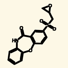 O=C1Nc2ccccc2Oc2ccc(S(=O)(=O)CC3CO3)cc21